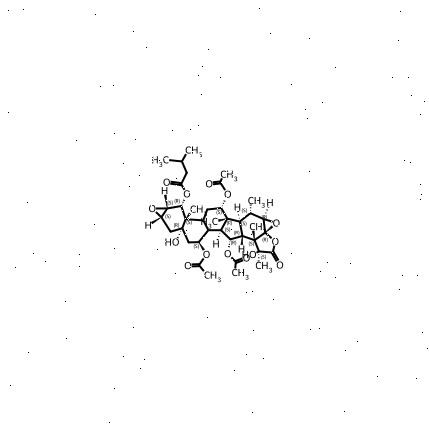 CC(=O)O[C@H]1[C@@H]2[C@H]([C@H](C)[C@H]3O[C@]34OC(=O)[C@@](C)(O)[C@]24C)[C@@]2(C)[C@@H](OC(C)=O)CC3C([C@@H](OC(C)=O)C[C@@]4(O)C[C@@H]5O[C@@H]5[C@H](OC(=O)CC(C)C)[C@]34C)[C@H]12